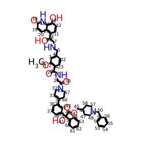 COc1cc(CNC[C@H](O)c2ccc(O)c3[nH]c(=O)ccc23)ccc1C(=O)NCC(=O)N1CC=C(c2cccc(C(O)(C(=O)OCC3CCN(Cc4ccccc4)CC3)c3ccccc3)c2)CC1